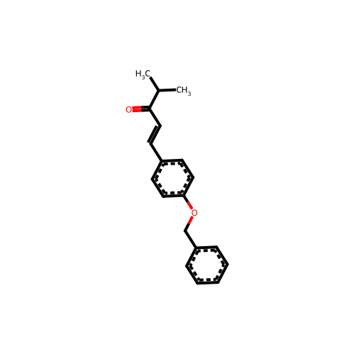 CC(C)C(=O)/C=C/c1ccc(OCc2ccccc2)cc1